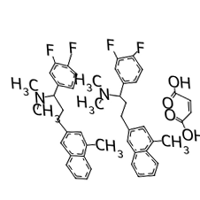 Cc1cc(CCC(c2ccc(F)c(F)c2)N(C)C)cc2ccccc12.Cc1cc(CCC(c2ccc(F)c(F)c2)N(C)C)cc2ccccc12.O=C(O)/C=C\C(=O)O